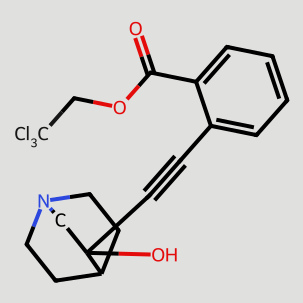 O=C(OCC(Cl)(Cl)Cl)c1ccccc1C#CC1(O)CN2CCC1CC2